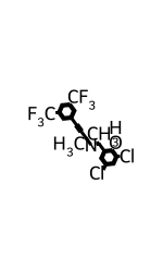 CC(C)(C#Cc1cc(C(F)(F)F)cc(C(F)(F)F)c1)/N=C/c1cc(Cl)cc(Cl)c1O